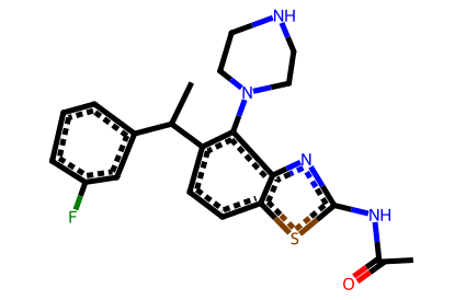 CC(=O)Nc1nc2c(N3CCNCC3)c(C(C)c3cccc(F)c3)ccc2s1